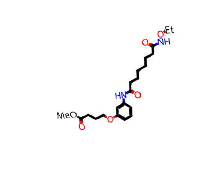 CCONC(=O)CCCCCCC(=O)Nc1cccc(OCCCC(=O)OC)c1